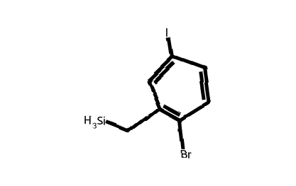 [SiH3]Cc1cc(I)ccc1Br